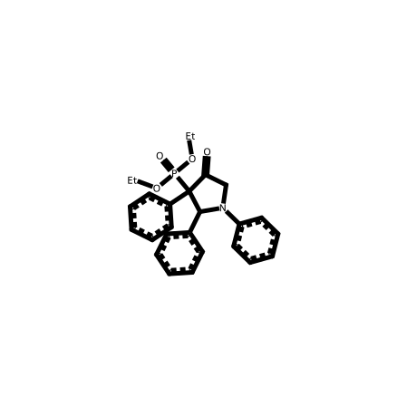 CCOP(=O)(OCC)C1(c2ccccc2)C(=O)CN(c2ccccc2)C1c1ccccc1